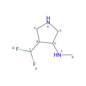 CNC1CNCC1C(F)F